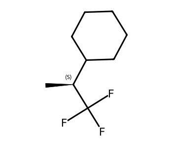 C[C@@H](C1CCCCC1)C(F)(F)F